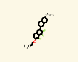 C=CCOc1ccc2cc(C3CCC4CC(CCCCC)CCC4C3)c(F)c(F)c2c1F